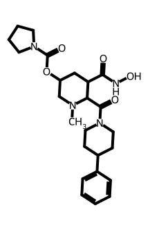 CN1CC(OC(=O)N2CCCC2)CC(C(=O)NO)C1C(=O)N1CCC(c2ccccc2)CC1